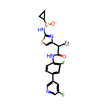 CCC(C(=O)Nc1ccc(-c2cncc(F)c2)cc1F)c1csc(N[S+]([O-])C2CC2)n1